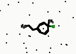 CCCC1=CC=CC(C)(Cl)C=C1